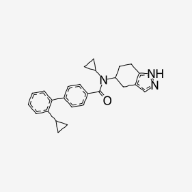 O=C(c1ccc(-c2ccccc2C2CC2)cc1)N(C1CC1)C1CCc2[nH]ncc2C1